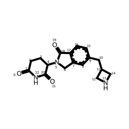 O=C1CCC(N2Cc3cc(CC4CNC4)ccc3C2=O)C(=O)N1